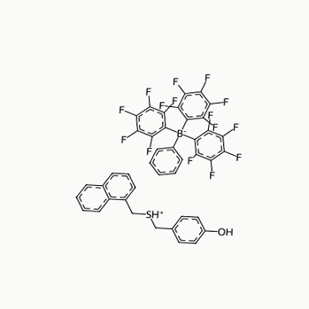 Fc1c(F)c(F)c([B-](c2ccccc2)(c2c(F)c(F)c(F)c(F)c2F)c2c(F)c(F)c(F)c(F)c2F)c(F)c1F.Oc1ccc(C[SH+]Cc2cccc3ccccc23)cc1